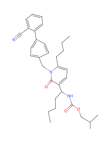 CCCCc1ccc(C(CCCC)NC(=O)OCC(C)C)c(=O)n1Cc1ccc(-c2ccccc2C#N)cc1